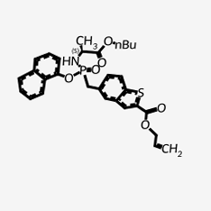 C=CCOC(=O)c1cc2cc(CP(=O)(N[C@@H](C)C(=O)OCCCC)Oc3cccc4ccccc34)ccc2s1